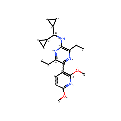 CCc1nc(-c2ccc(OC)nc2OC)c(CC)nc1NC(C1CC1)C1CC1